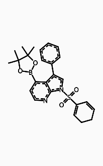 CC1(C)OB(c2ccnc3c2c(-c2ccccc2)cn3S(=O)(=O)C2=CCCC=C2)OC1(C)C